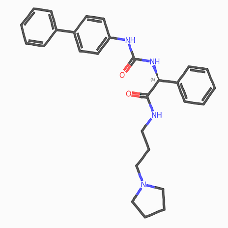 O=C(Nc1ccc(-c2ccccc2)cc1)N[C@H](C(=O)NCCCN1CCCC1)c1ccccc1